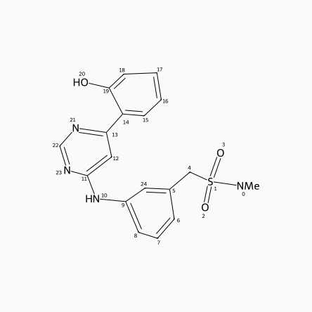 CNS(=O)(=O)Cc1cccc(Nc2cc(-c3ccccc3O)ncn2)c1